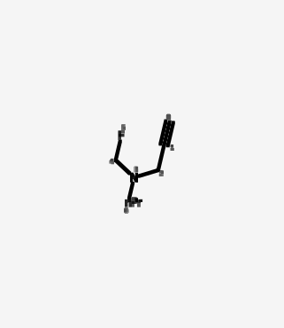 C#CCN(CF)CCC